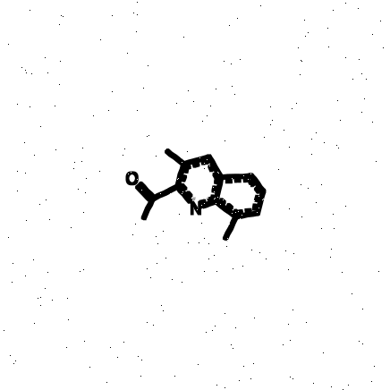 CC(=O)c1nc2c(C)cccc2cc1C